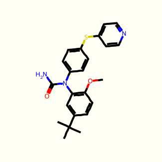 COc1ccc(C(C)(C)C)cc1N(C(N)=O)c1ccc(Sc2ccncc2)cc1